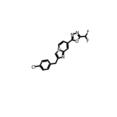 FC(F)c1nnc(-c2ccn3cc(Cc4ccc(Cl)cc4)nc3c2)o1